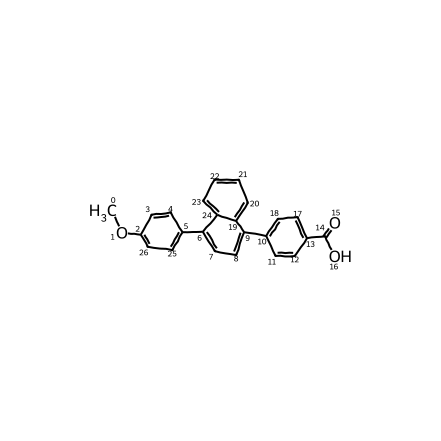 COc1ccc(-c2ccc(-c3ccc(C(=O)O)cc3)c3ccccc23)cc1